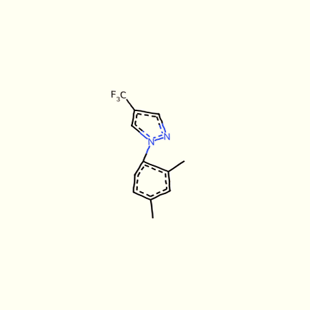 Cc1ccc(-n2cc(C(F)(F)F)cn2)c(C)c1